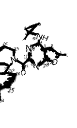 Cc1cc2c(NC3(C)CC3)nc(C(=O)N3CCCCC3c3ccc(F)cc3)nc2o1